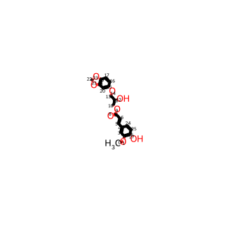 COc1cc(/C=C/C(=O)OC[C@H](O)COc2ccc3c(c2)OCO3)ccc1O